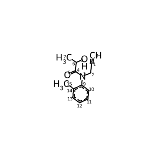 C#CCN(C(=O)C(C)O)c1ccccc1C